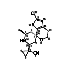 C[C@H]1C[C@@]2(C[C@@H](C3(C#N)CC3)N1)OCCc1cc(Cl)sc12